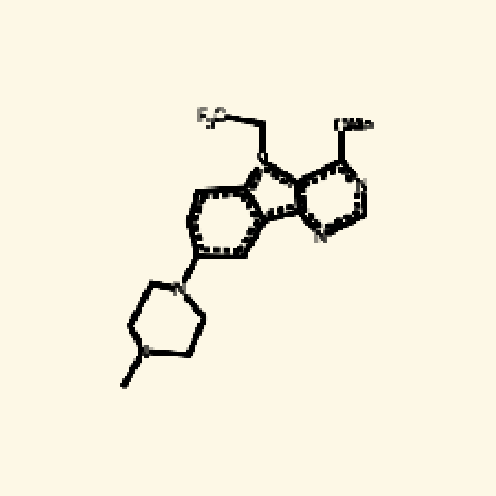 COc1ncnc2c3cc(N4CCN(C)CC4)ccc3n(CC(F)(F)F)c12